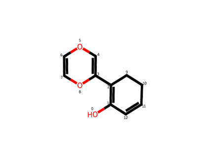 OC1=C(C2=CO[C]=CO2)CCC=C1